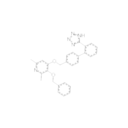 Cc1cc(OCc2ccc(-c3ccccc3-c3nnn[nH]3)cc2)c(OCc2ccccc2)c(C)n1